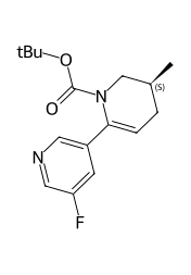 C[C@H]1CC=C(c2cncc(F)c2)N(C(=O)OC(C)(C)C)C1